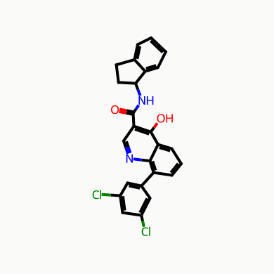 O=C(NC1CCc2ccccc21)c1cnc2c(-c3cc(Cl)cc(Cl)c3)cccc2c1O